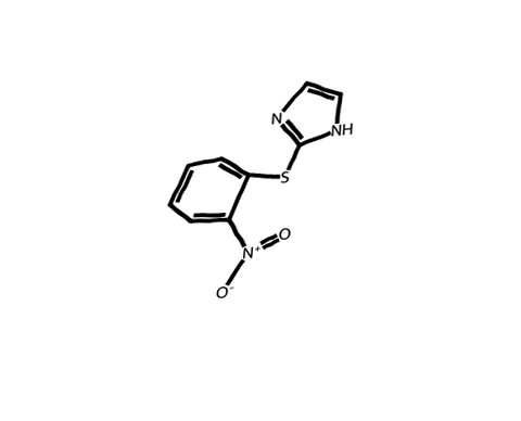 O=[N+]([O-])c1ccccc1Sc1ncc[nH]1